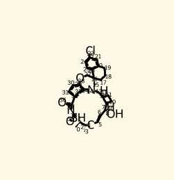 C[C@@H]1[C@@H](C)C/C=C/[C@H](O)[C@@H]2CC[C@H]2CN2C[C@@]3(CCCc4cc(Cl)ccc43)COc3ccc(cc32)C(=O)/N=[SH]\1=O